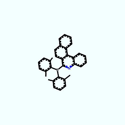 Cc1cccc(C)c1B(c1c(C)cccc1C)c1nc2ccccc2c2c1ccc1ccccc12